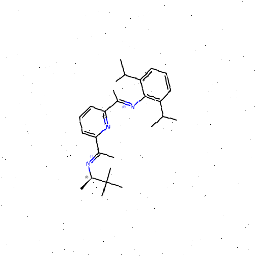 C/C(=N\c1c(C(C)C)cccc1C(C)C)c1cccc(/C(C)=N/[C@H](C)C(C)(C)C)n1